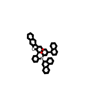 c1cc(-c2cccc3ccccc23)cc(N(c2ccccc2-c2cccc3c2oc2cc4ccccc4cc23)c2cc3ccccc3c3ccccc23)c1